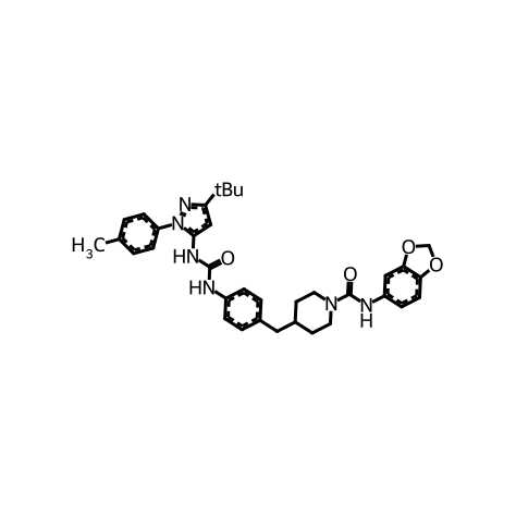 Cc1ccc(-n2nc(C(C)(C)C)cc2NC(=O)Nc2ccc(CC3CCN(C(=O)Nc4ccc5c(c4)OCO5)CC3)cc2)cc1